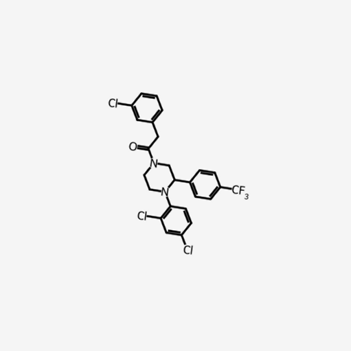 O=C(Cc1cccc(Cl)c1)N1CCN(c2ccc(Cl)cc2Cl)C(c2ccc(C(F)(F)F)cc2)C1